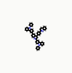 c1ccc(-n2c3ccccc3c3cc(-c4ccc5nc(-c6ccc7c(c6)c6ccccc6n7-c6ccccc6)cc(-c6ccc(-c7ccc8ccccc8n7)cc6)c5c4)ccc32)cc1